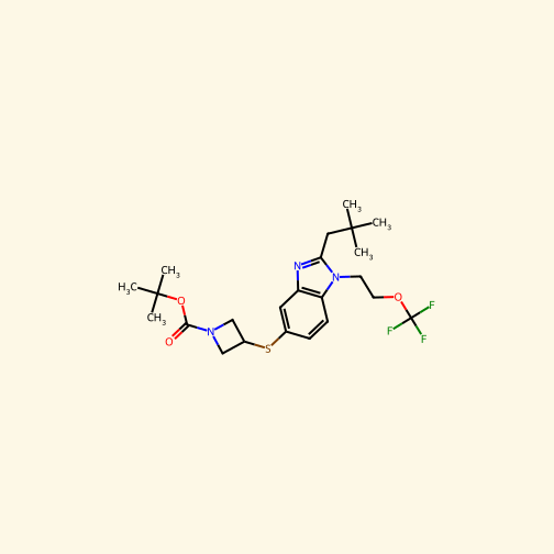 CC(C)(C)Cc1nc2cc(SC3CN(C(=O)OC(C)(C)C)C3)ccc2n1CCOC(F)(F)F